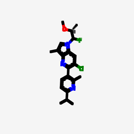 CO[C@H](C)C(F)n1cc(C)c2nc(-c3ccc(C(C)C)nc3C)c(Cl)cc21